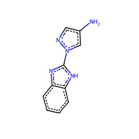 Nc1cnn(-c2nc3ccccc3[nH]2)c1